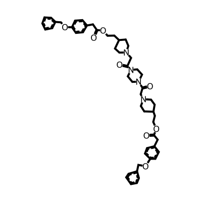 O=C(Cc1ccc(OCc2ccccc2)cc1)OCCC1CCN(CC(=O)N2CCN(C(=O)CN3CCC(CCOC(=O)Cc4ccc(OCc5ccccc5)cc4)CC3)CC2)CC1